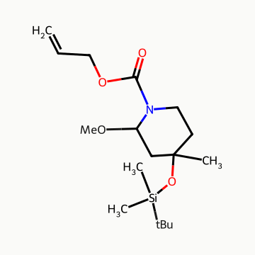 C=CCOC(=O)N1CCC(C)(O[Si](C)(C)C(C)(C)C)CC1OC